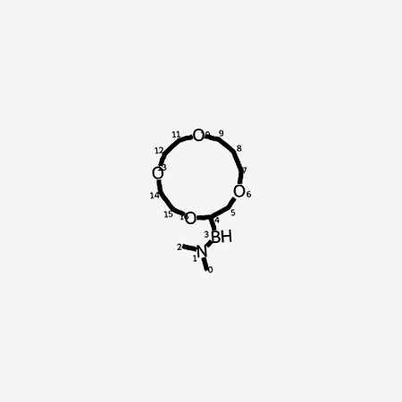 CN(C)BC1COCCCOCCOCCO1